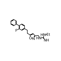 CCNC(=N)NCc1cc(CCc2ccc(-c3ccccc3)c(F)c2)on1